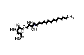 CCCCCCCCCCCCC/C=C/C(O)C(N)COC1OC(CO)C[C@H](O)[C@H]1O